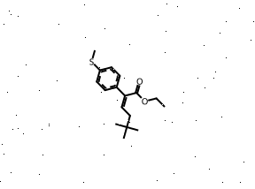 CCOC(=O)C(=CCC(C)(C)C)c1ccc(SC)cc1